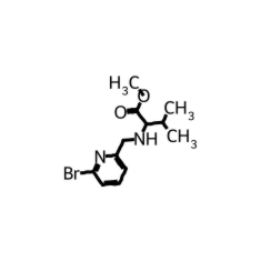 COC(=O)C(NCc1cccc(Br)n1)C(C)C